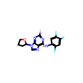 Fc1cc(F)c(Nc2nc(I)nc3c2ncn3C2CCCO2)cc1F